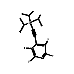 CC(C)[Si](C#Cc1c(F)c(F)[c]c(F)c1F)(C(C)C)C(C)C